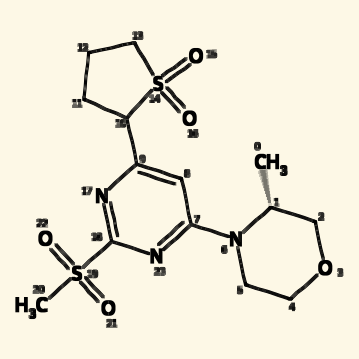 C[C@@H]1COCCN1c1cc(C2CCCS2(=O)=O)nc(S(C)(=O)=O)n1